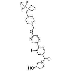 O=C(c1ccc(-c2ccc(OCC3CCN(CC4(C(F)(F)F)CCC4)CC3)nc2)c(F)c1)N1CC[C@@H](O)C1